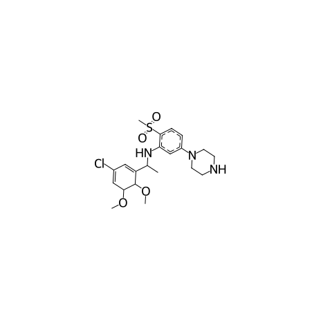 COC1C=C(Cl)C=C(C(C)Nc2cc(N3CCNCC3)ccc2S(C)(=O)=O)C1OC